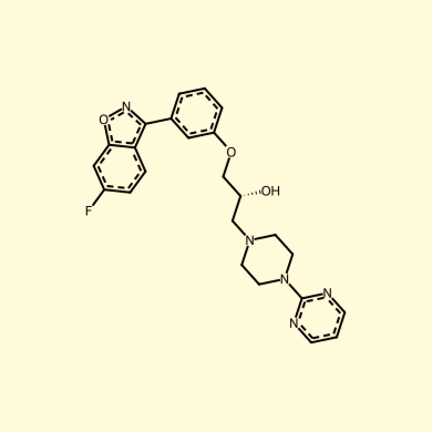 O[C@@H](COc1cccc(-c2noc3cc(F)ccc23)c1)CN1CCN(c2ncccn2)CC1